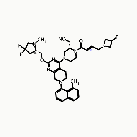 Cc1cccc2cccc(N3CCc4c(nc(OC[C@@H]5CC(F)(F)CN5C)nc4N4CCN(C(=O)/C=C/CN5CC(F)C5)[C@@H](CC#N)C4)C3)c12